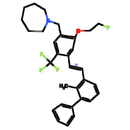 Cc1c(/C=C/c2cc(OCCF)c(CN3CCCCCC3)cc2C(F)(F)F)cccc1-c1ccccc1